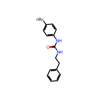 CCCCc1ccc(NC(=O)NCCc2ccccc2)cc1